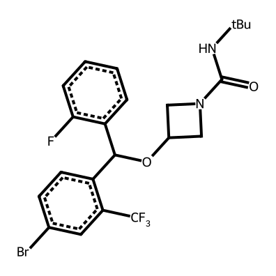 CC(C)(C)NC(=O)N1CC(OC(c2ccccc2F)c2ccc(Br)cc2C(F)(F)F)C1